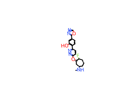 CNC1CCCC(F)[C@@H](Oc2ccc(-c3ccc(-c4nnco4)cc3O)nn2)C1